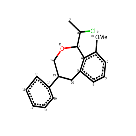 COc1cccc2c1C(C(C)Cl)OCC(c1ccccc1)C2